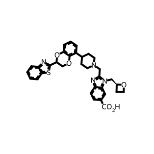 O=C(O)c1ccc2nc(CN3CCC(c4cccc5c4OCC(c4nc6ccccc6s4)O5)CC3)n(C[C@@H]3CCO3)c2c1